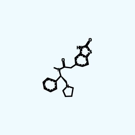 CN(C(=O)Cc1ccc2sc(=O)[nH]c2c1)[C@@H](CN1CCCC1)c1ccccc1